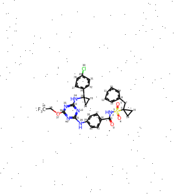 O=C(NS(=O)(=O)C1(Cc2ccccc2)CC1)c1ccc(Nc2nc(NC3(c4ccc(Cl)cc4)CC3)nc(OCC(F)(F)F)n2)cc1